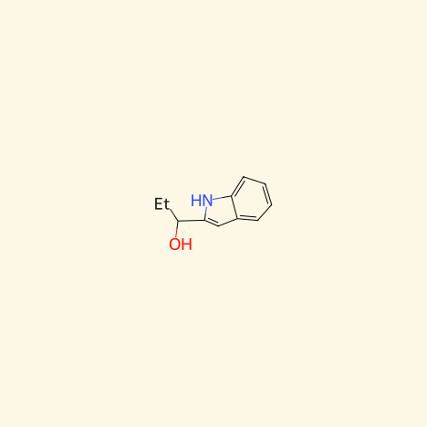 CCC(O)c1cc2ccccc2[nH]1